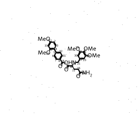 COc1ccc(-c2ccc(C(=O)OC(=O)[C@H](CCC(N)=O)NCc3cc(OC)c(OC)c(OC)c3)cc2)c(OC)c1